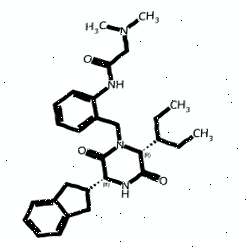 CCC(CC)[C@@H]1C(=O)N[C@H](C2Cc3ccccc3C2)C(=O)N1Cc1ccccc1NC(=O)CN(C)C